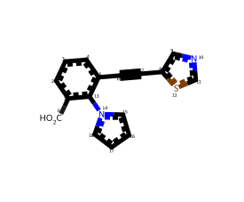 O=C(O)c1cccc(C#Cc2cncs2)c1-n1cccc1